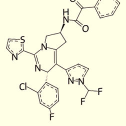 O=C(N[C@H]1CC2=C(c3ccn(C(F)F)n3)[C@H](c3ccc(F)cc3Cl)N=C(c3nccs3)N2C1)C(=O)c1ccccc1